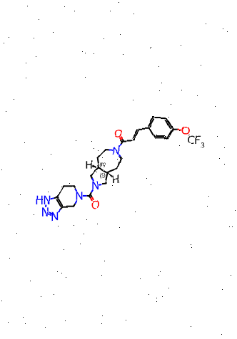 O=C(C=Cc1ccc(OC(F)(F)F)cc1)N1CC[C@@H]2CN(C(=O)N3CCc4[nH]nnc4C3)C[C@@H]2CC1